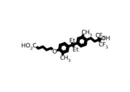 CCC(CC)(c1ccc(CCC(O)(C(F)(F)F)C(F)(F)F)c(C)c1)c1ccc(OCCCCC(=O)O)c(C)c1